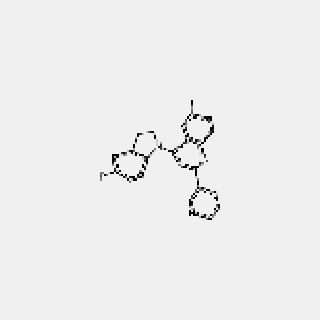 Cc1ccc2nc(-c3cnccn3)nc(N3CCc4cc(F)ccc43)c2c1